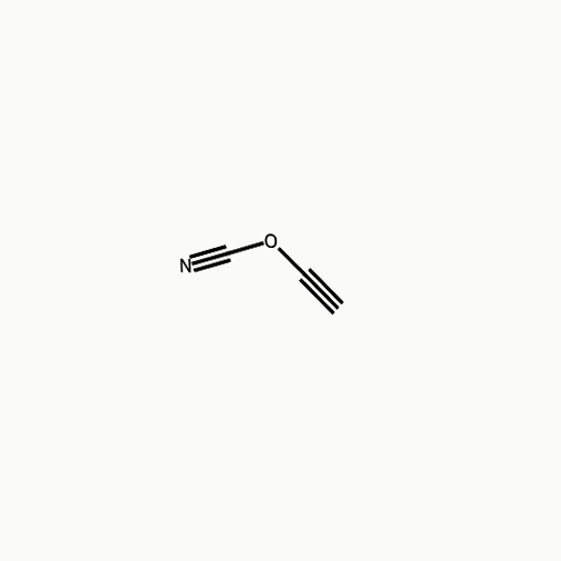 C#COC#N